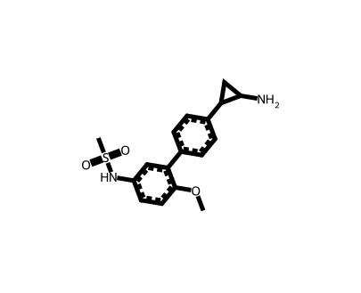 COc1ccc(NS(C)(=O)=O)cc1-c1ccc(C2CC2N)cc1